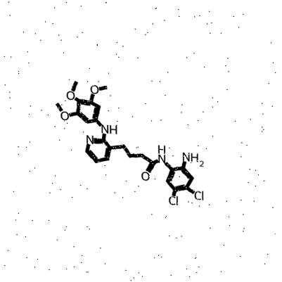 COc1cc(Nc2ncccc2CCCC(=O)Nc2cc(Cl)c(Cl)cc2N)cc(OC)c1OC